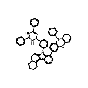 C1=CC2=C(CC1)N(c1ccccc1)c1ccc(-c3cccc4c5c(n(-c6cccc(C7N=C(c8ccccc8)NC(c8ccccc8)N7)c6)c34)=CCC3CCCCC=53)cc1O2